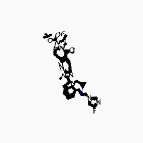 Cn1c(-c2cc3cccc(/C=C/Cn4cnc(F)c4)c3n2CC2CC2)nc2cc3c(nc21)CCN(C[C@@H](CF)NC(=O)OC(C)(C)C)C3=O